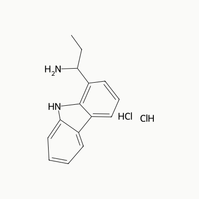 CCC(N)c1cccc2c1[nH]c1ccccc12.Cl.Cl